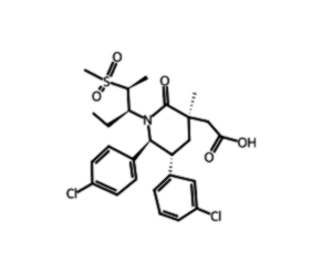 CC[C@@H]([C@H](C)S(C)(=O)=O)N1C(=O)[C@@](C)(CC(=O)O)C[C@H](c2cccc(Cl)c2)[C@H]1c1ccc(Cl)cc1